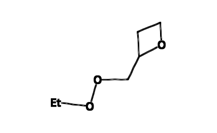 CCOOCC1CCO1